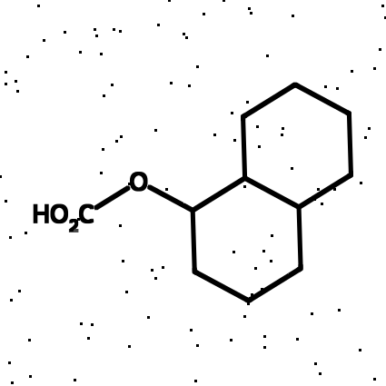 O=C(O)OC1CCCC2CCCCC21